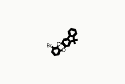 CC1(C)c2ccccc2-c2cc3c(cc21)Oc1cccc(Br)c1O3